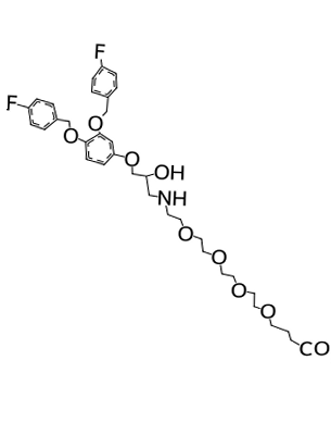 O=C(O)CCCOCCOCCOCCOCCNCC(O)COc1ccc(OCc2ccc(F)cc2)c(OCc2ccc(F)cc2)c1